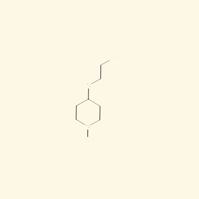 CC(=O)OCCNC1CCN(C(C)C)CC1